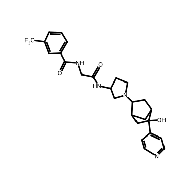 O=C(CNC(=O)c1cccc(C(F)(F)F)c1)NC1CCN(C2CC3CC2CC3(O)c2ccncc2)C1